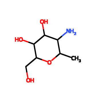 CC1OC(CO)C(O)C(O)C1N